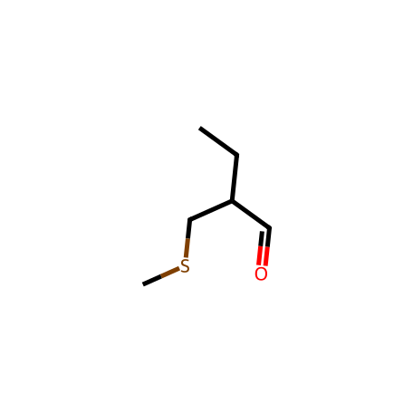 CCC(C=O)CSC